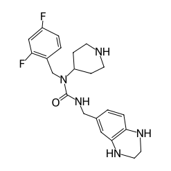 O=C(NCc1ccc2c(c1)NCCN2)N(Cc1ccc(F)cc1F)C1CCNCC1